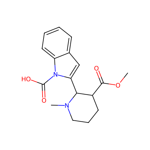 COC(=O)C1CCCN(C)C1c1cc2ccccc2n1C(=O)O